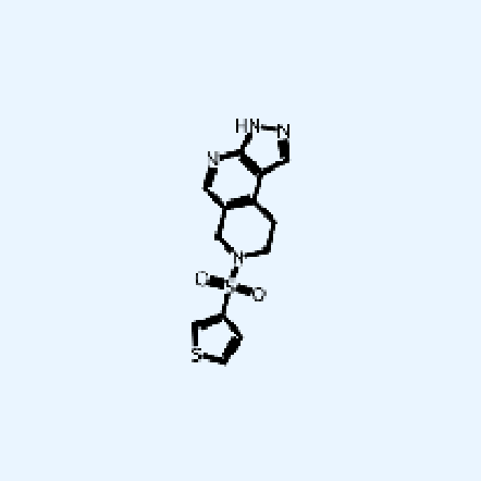 O=S(=O)(c1ccsc1)N1CCc2c(cnc3[nH]ncc23)C1